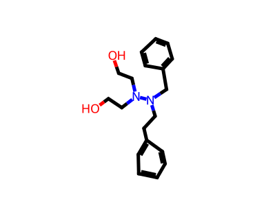 OCCN(CCO)N(CCc1ccccc1)Cc1ccccc1